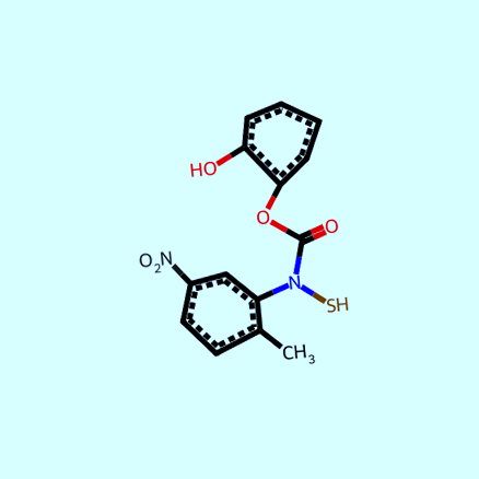 Cc1ccc([N+](=O)[O-])cc1N(S)C(=O)Oc1ccccc1O